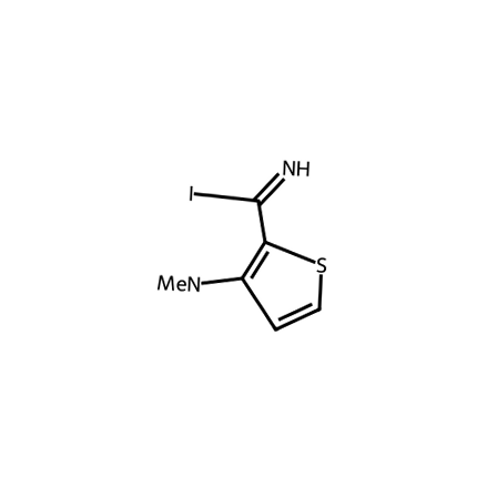 CNc1ccsc1C(=N)I